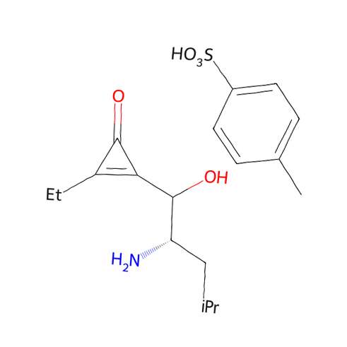 CCc1c(C(O)[C@@H](N)CC(C)C)c1=O.Cc1ccc(S(=O)(=O)O)cc1